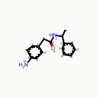 CC(NC(=O)Cc1ccc(N)cc1)c1ccccc1